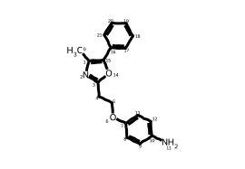 Cc1nc(CCOc2ccc(N)cc2)oc1-c1ccccc1